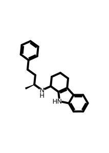 C[C@@H](CCc1ccccc1)NC1CCCc2c1[nH]c1ccccc21